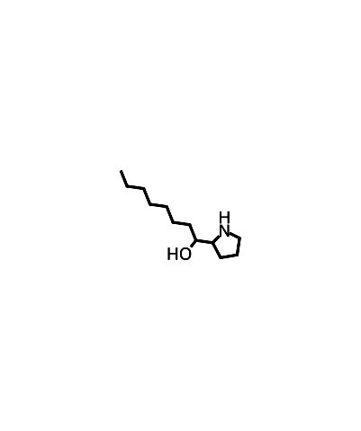 CCCCCCCC(O)C1CCCN1